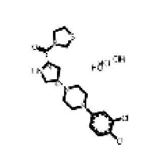 Cl.Cl.Cl.O=C([C@@H]1C[C@H](N2CCN(c3ccc(Cl)c(Cl)c3)CC2)CN1)N1CCSC1